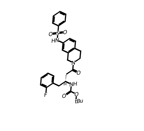 CC(C)(C)OC(=O)N[C@@H](CC(=O)N1CCc2ccc(NS(=O)(=O)c3ccccc3)cc2C1)Cc1ccccc1F